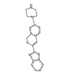 C1=C(c2nc3ccccc3s2)OCc2cc(N3CCNCC3)ccc21